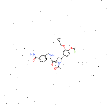 CC(=O)N1CC(c2ccc(OC(F)F)c(OCC3CC3)c2)C[C@@H]1C(=O)C1NCc2cc(C(N)=O)ccc21